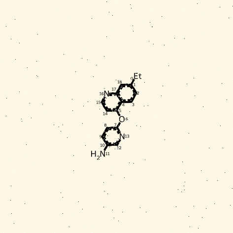 CCc1ccc2c(Oc3ccc(N)cn3)ccnc2c1